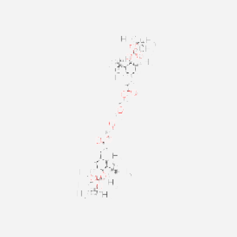 Cc1cc(CCC(=O)OCCOCCOCCOC(=O)CCc2cc(C)c(OC(=O)OC(C)(C)C)c(C(C)(C)C)c2)cc(C(C)(C)C)c1OC(=O)OC(C)(C)C